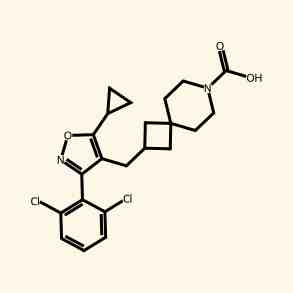 O=C(O)N1CCC2(CC1)CC(Cc1c(-c3c(Cl)cccc3Cl)noc1C1CC1)C2